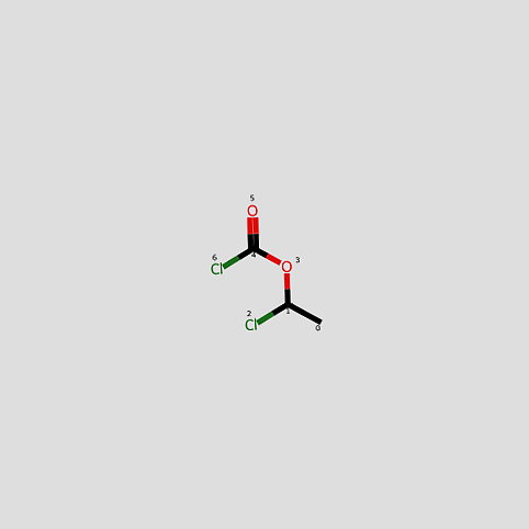 C[C](Cl)OC(=O)Cl